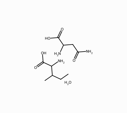 CCC(C)C(N)C(=O)O.NC(=O)CC(N)C(=O)O.O